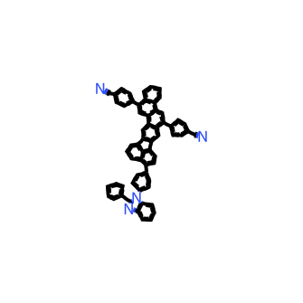 N#Cc1ccc(-c2cc3c4cc5c(cc4c(-c4ccc(C#N)cc4)cc3c3ccccc23)-c2ccc(-c3ccc(-n4c(-c6ccccc6)nc6ccccc64)cc3)c3cccc-5c23)cc1